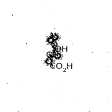 O=C(O)C1CCCN(C(=O)C2CCCCN2C[C@@H](O)COc2cccc3ncccc23)C1